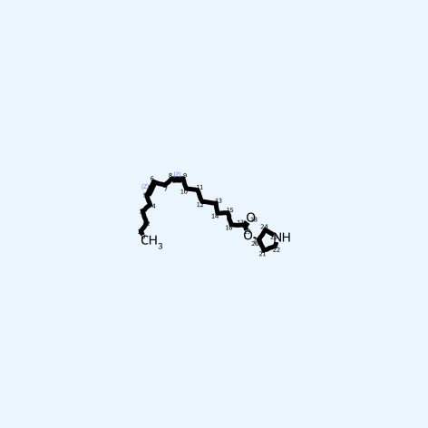 CCCCC/C=C\C/C=C\CCCCCCCC(=O)O[C@H]1CCNC1